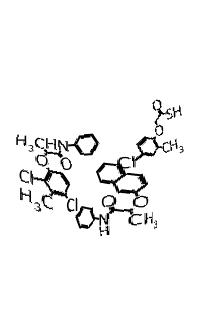 CC(Oc1ccc2ccccc2c1)C(=O)Nc1ccccc1.Cc1c(Cl)ccc(OC(C)C(=O)Nc2ccccc2)c1Cl.Cc1cc(Cl)ccc1OCC(=O)S